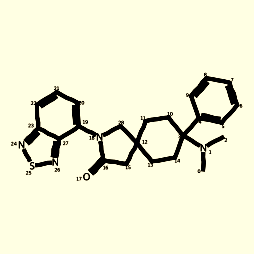 CN(C)C1(c2ccccc2)CCC2(CC1)CC(=O)N(c1cccc3nsnc13)C2